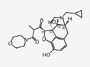 CC(C(=O)[C@@H]1Oc2c(O)ccc3c2[C@@]12CCN(CC1CC1)[C@H](C3)[C@@]2(C)O)C(=O)N1CCOCC1